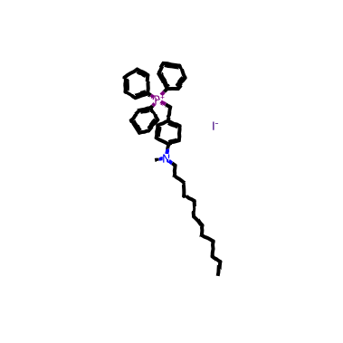 CCCCCCCCCCCCN(C)c1ccc(C[P+](c2ccccc2)(c2ccccc2)c2ccccc2)cc1.[I-]